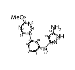 COc1ncc(-c2cccc(C(C)c3cc(N)[nH]n3)c2)cn1